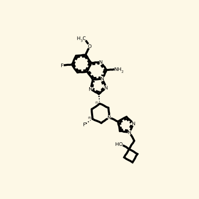 COc1cc(F)cc2c1nc(N)n1nc([C@H]3C[C@@H](F)CN(c4cnn(CC5(O)CCC5)c4)C3)nc21